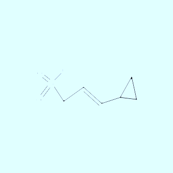 O=S(=O)(Cl)CC=CC1CC1